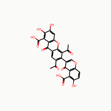 CC(=O)c1cc2c(=O)c3c(C(=O)O)c(O)c(O)cc3oc2c(C(C)=O)c1-c1coc2ccc(O)c(C(=O)O)c2c1=O